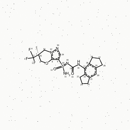 C[C@@]1(C(F)(F)F)COc2c(S(N)(=O)=NC(=O)Nc3c4c(cc5c3CCC5)CCC4)cnn2C1